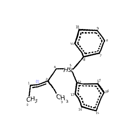 C/C=C(\C)C[SiH](c1ccccc1)c1ccccc1